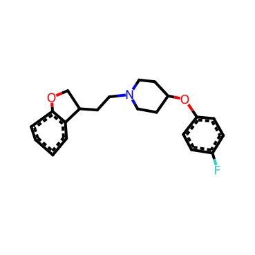 Fc1ccc(OC2CCN(CCC3COc4ccccc43)CC2)cc1